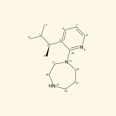 CC(C)[C@H](C)c1cccnc1N1CCCNCC1